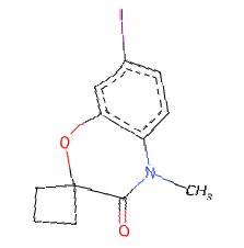 CN1C(=O)C2(CCC2)Oc2cc(I)ccc21